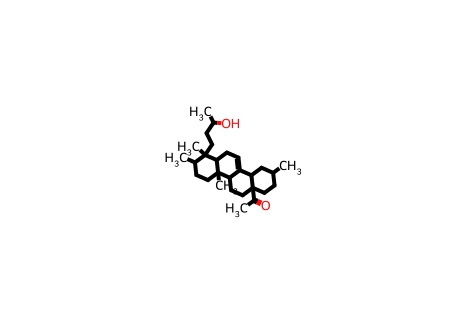 CC(=O)C12CCC(C)CC1C1=CCC3C(C)(CCC(C)O)C(C)CCC3(C)C1CC2